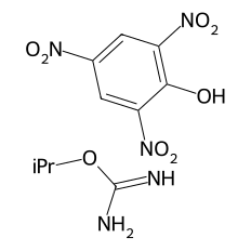 CC(C)OC(=N)N.O=[N+]([O-])c1cc([N+](=O)[O-])c(O)c([N+](=O)[O-])c1